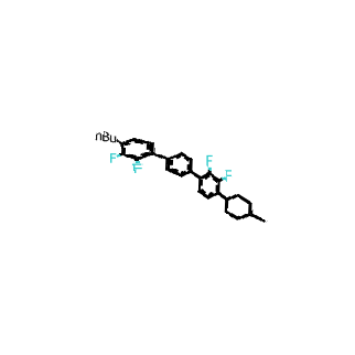 CCCCc1ccc(-c2ccc(-c3ccc(C4CCC(C)CC4)c(F)c3F)cc2)c(F)c1F